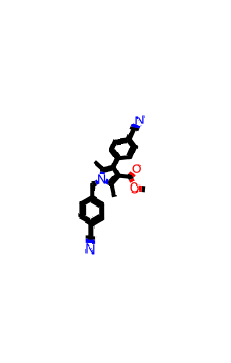 COC(=O)c1c(-c2ccc(C#N)cc2)c(C)n(Cc2ccc(C#N)cc2)c1C